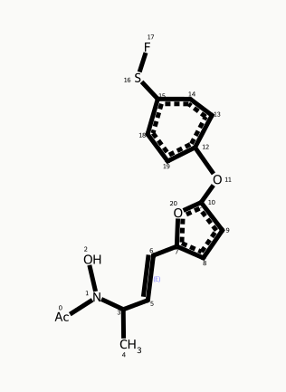 CC(=O)N(O)C(C)/C=C/c1ccc(Oc2ccc(SF)cc2)o1